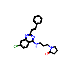 O=C1CCCN1CCCNc1nc(/C=C/c2ccccc2)nc2cc(Cl)ccc12